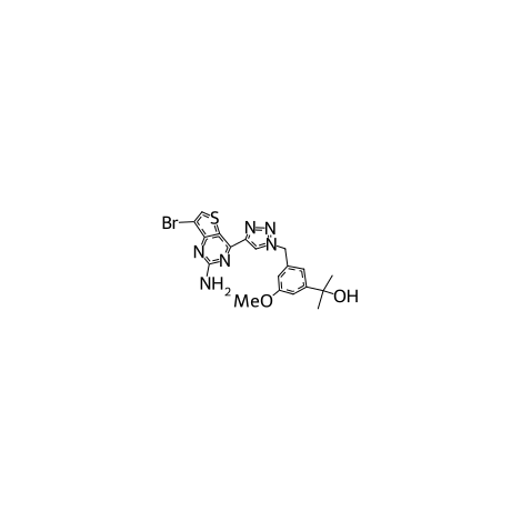 COc1cc(Cn2cc(-c3nc(N)nc4c(Br)csc34)nn2)cc(C(C)(C)O)c1